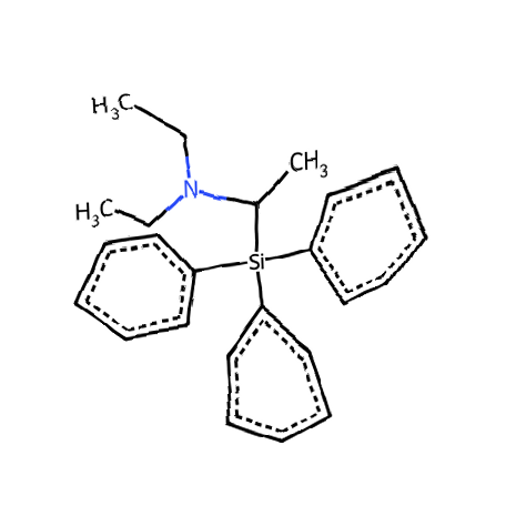 CCN(CC)C(C)[Si](c1ccccc1)(c1ccccc1)c1ccccc1